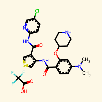 CN(C)c1ccc(C(=O)Nc2cscc2C(=O)Nc2ccc(Cl)cn2)c(OC2CCNCC2)c1.O=C(O)C(F)(F)F